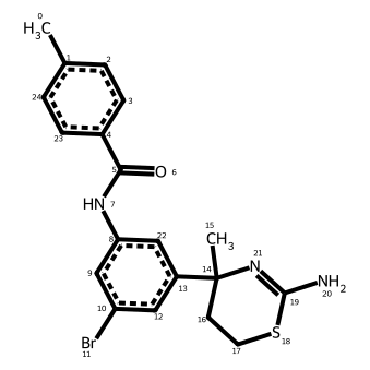 Cc1ccc(C(=O)Nc2cc(Br)cc(C3(C)CCSC(N)=N3)c2)cc1